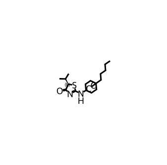 CCCCCC12CCC(NC3=NC(=O)[C@@H](C(C)C)S3)(CC1)CC2